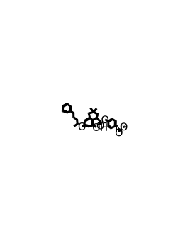 CC(CCCc1ccccc1)Oc1cc(O)c2c(c1)CC(C)(C)CC2C(=O)Oc1ccc([N+](=O)[O-])cc1